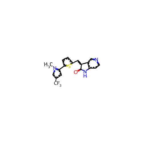 Cn1cc(C(F)(F)F)cc1-c1ccc(C=C2C(=O)Nc3ccncc32)s1